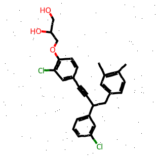 Cc1ccc(CC(C#Cc2ccc(OCC(O)CO)c(Cl)c2)c2cccc(Cl)c2)cc1C